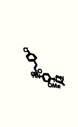 COc1cc(NS(=O)(=O)CCc2ccc(Cl)cc2)ccc1-n1cnc(C)c1